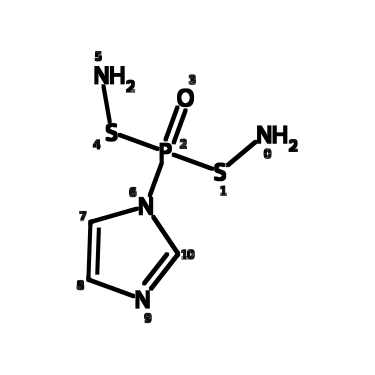 NSP(=O)(SN)n1ccnc1